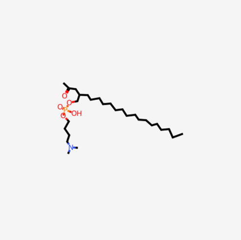 CCCCCCCCCCCCCCCCCC(COP(=O)(O)OCCCCN(C)C)CC(C)=O